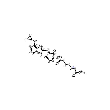 NC(=O)/C=C/CCCC(=O)Nc1cccn(Cc2nc3c(CC4CC4)cccc3[nH]2)c1=O